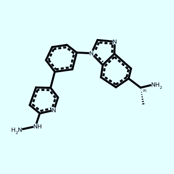 C[C@@H](N)c1ccc2c(c1)ncn2-c1cccc(-c2ccc(NN)nc2)c1